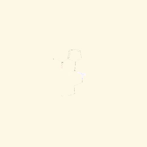 CCCC(=O)c1ccccc1C(=O)N[C@@H](CCSC)C(=O)O